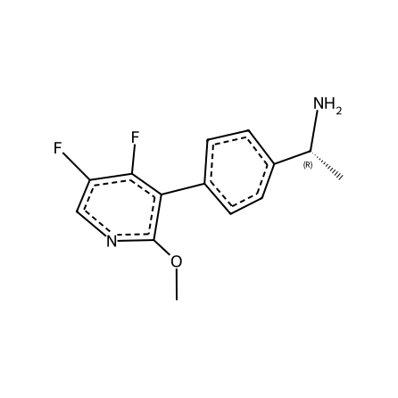 COc1ncc(F)c(F)c1-c1ccc([C@@H](C)N)cc1